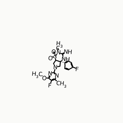 COc1nc(N2CC3[C@](c4ccc(F)cc4)(C2)NC(=N)N(C)S3(=O)=O)nc(C)c1F